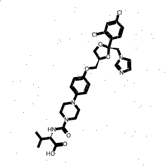 CC(C)[C@H](NC(=O)N1CCN(c2ccc(OC[C@H]3CO[C@](Cn4ccnc4)(c4ccc(Cl)cc4Cl)O3)cc2)CC1)C(=O)O